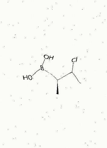 CC(Cl)[C@@H](C)B(O)O